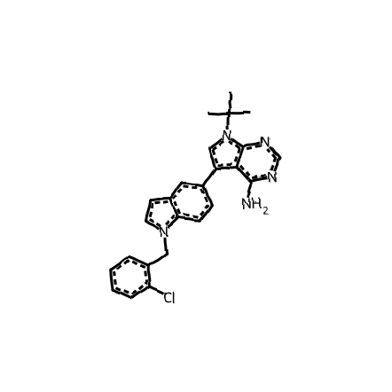 CC(C)(C)n1cc(-c2ccc3c(ccn3Cc3ccccc3Cl)c2)c2c(N)ncnc21